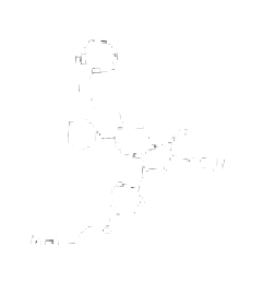 COCCOc1ccc(-n2cc(C(=O)O)c(=O)c3cc(F)c(N4CCC[C@@H]4COc4ccccn4)cc32)cc1